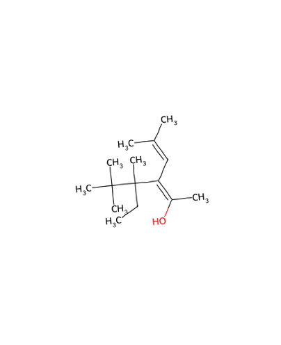 CCC(C)(/C(C=C(C)C)=C(/C)O)C(C)(C)C